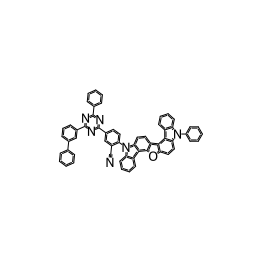 N#Cc1cc(-c2nc(-c3ccccc3)nc(-c3cccc(-c4ccccc4)c3)n2)ccc1-n1c2ccccc2c2c3oc4ccc5c(c6ccccc6n5-c5ccccc5)c4c3ccc21